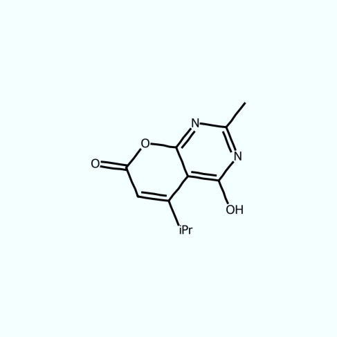 Cc1nc(O)c2c(C(C)C)cc(=O)oc2n1